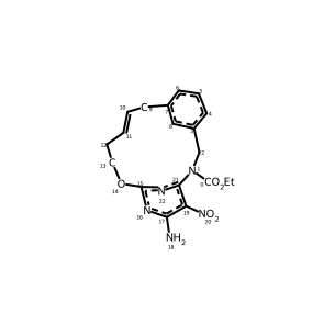 CCOC(=O)N1Cc2cccc(c2)C/C=C/CCOc2nc(N)c([N+](=O)[O-])c1n2